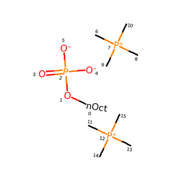 CCCCCCCCOP(=O)([O-])[O-].C[P+](C)(C)C.C[P+](C)(C)C